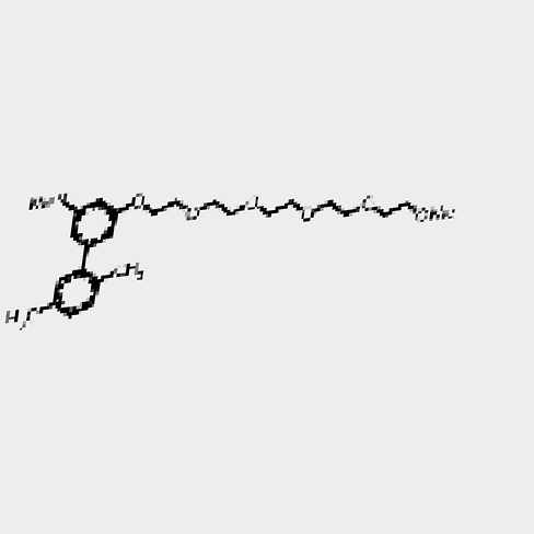 CNc1cc(OCCOCCOCCOCCOCCOC)cc(-c2cc(C)ccc2C)c1